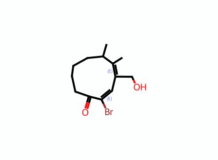 C/C1=C(CO)/C=C(/Br)C(=O)CCCCC1C